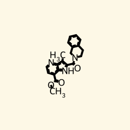 COC(=O)c1ccnc2c(C)c(C(=O)N3CCc4ccccc4C3)[nH]c12